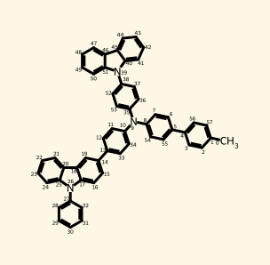 Cc1ccc(-c2ccc(N(c3ccc(-c4ccc5c(c4)c4ccccc4n5-c4ccccc4)cc3)c3ccc(-n4c5ccccc5c5ccccc54)cc3)cc2)cc1